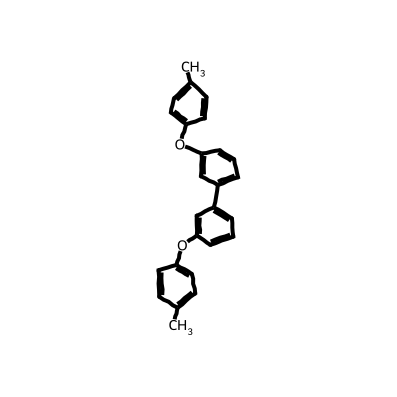 Cc1ccc(Oc2cccc(-c3cccc(Oc4ccc(C)cc4)c3)c2)cc1